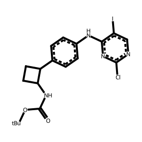 CC(C)(C)OC(=O)NC1CCC1c1ccc(Nc2nc(Cl)ncc2I)cc1